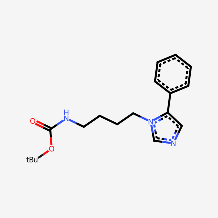 CC(C)(C)OC(=O)NCCCCn1cncc1-c1ccccc1